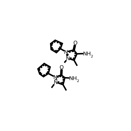 Cc1c(N)c(=O)n(-c2ccccc2)n1C.Cc1c(N)c(=O)n(-c2ccccc2)n1C